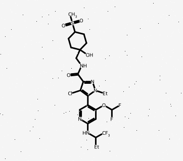 CCC(Nc1cc(OC(F)F)c(-c2c(Cl)c(C(=O)NCC3(O)CCC(S(C)(=O)=O)CC3)nn2CC)cn1)C(F)(F)F